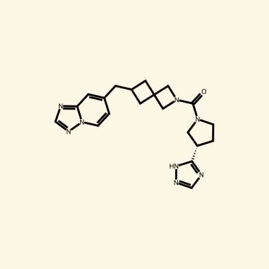 O=C(N1CC[C@H](c2ncn[nH]2)C1)N1CC2(CC(Cc3ccn4ncnc4c3)C2)C1